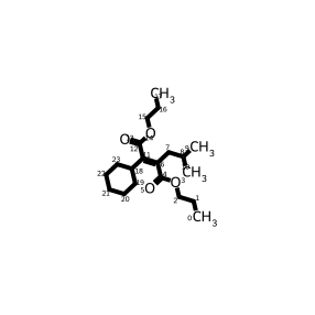 CCCOC(=O)C(CC(C)C)=C(C(=O)OCCC)C1CCCCC1